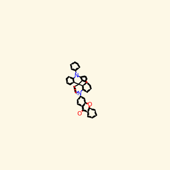 O=c1c2ccccc2oc2cc(N3c4ccccc4C4(c5ccccc5N(c5ccccc5)c5ccccc54)c4ccccc43)ccc12